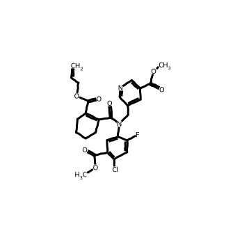 C=CCOC(=O)C1=C(C(=O)N(Cc2cncc(C(=O)OC)c2)c2cc(C(=O)OC)c(Cl)cc2F)CCCC1